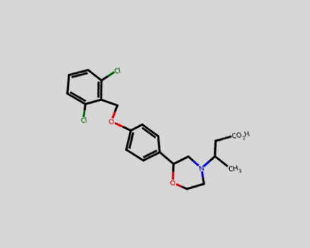 CC(CC(=O)O)N1CCOC(c2ccc(OCc3c(Cl)cccc3Cl)cc2)C1